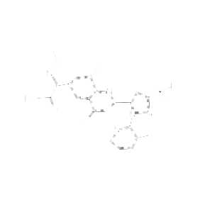 CO/N=C(/C(=O)O)c1cc(C)c2nc(-c3cc(C(F)(F)F)nn3-c3ncccc3Cl)oc(=O)c2c1